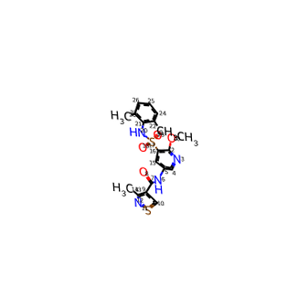 COc1ncc(NC(=O)c2csnc2C)cc1S(=O)(=O)Nc1c(C)cccc1C